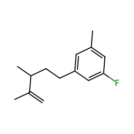 C=C(C)C(C)CCc1cc(C)cc(F)c1